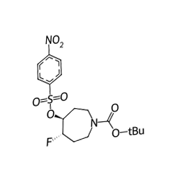 CC(C)(C)OC(=O)N1CC[C@H](OS(=O)(=O)c2ccc([N+](=O)[O-])cc2)[C@@H](F)CC1